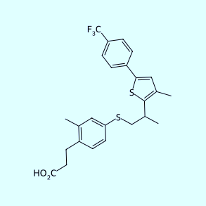 Cc1cc(SCC(C)c2sc(-c3ccc(C(F)(F)F)cc3)cc2C)ccc1CCC(=O)O